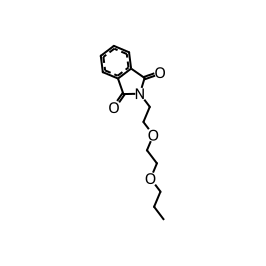 CCCOCCOCCN1C(=O)c2ccccc2C1=O